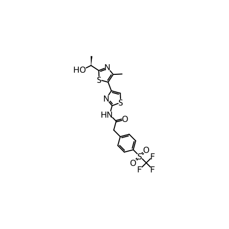 Cc1nc([C@H](C)O)sc1-c1csc(NC(=O)Cc2ccc(S(=O)(=O)C(F)(F)F)cc2)n1